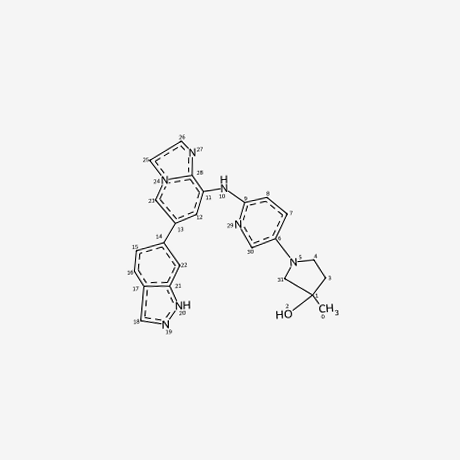 CC1(O)CCN(c2ccc(Nc3cc(-c4ccc5cn[nH]c5c4)cn4ccnc34)nc2)C1